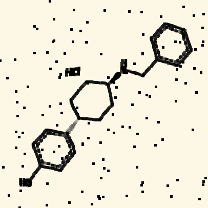 Cl.Oc1ccc([C@H]2CC[C@H](NCc3ccccc3)CC2)cc1